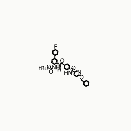 CC(C)(C)OC(=O)Nc1ccc(-c2ccc(F)cc2)cc1NC(=O)c1ccc(S(=N)(=O)c2ccc(OCc3ccccc3)nc2)cc1